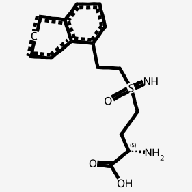 N=S(=O)(CCc1cccc2ccccc12)CC[C@H](N)C(=O)O